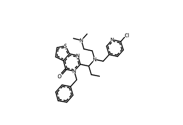 CCC(c1nc2sccc2c(=O)n1Cc1ccccc1)N(CCN(C)C)Cc1ccc(Cl)nc1